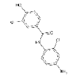 Nc1ccc(NC(=O)c2ccc(O)c(Cl)c2)c(Cl)c1